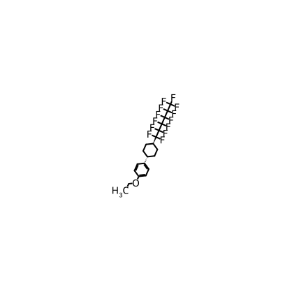 CCOc1ccc([C@H]2CC[C@H](C(F)(F)C(F)(F)C(F)(F)C(F)(F)C(F)(F)C(F)(F)F)CC2)cc1